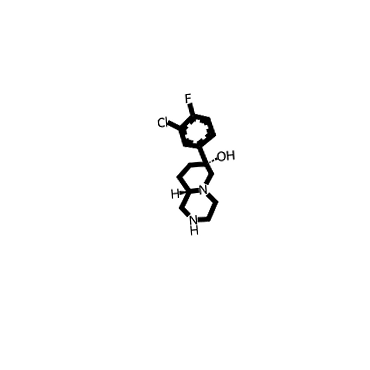 O[C@@]1(c2ccc(F)c(Cl)c2)CC[C@H]2CNCCN2C1